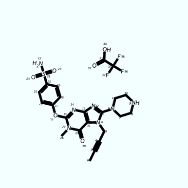 CC#CCn1c(N2CCNCC2)nc2nc(Oc3ccc(S(N)(=O)=O)cc3)n(C)c(=O)c21.O=C(O)C(F)(F)F